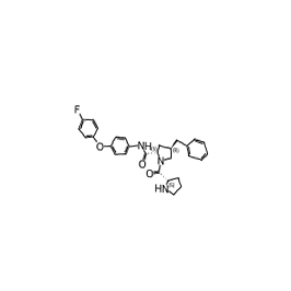 O=C(Nc1ccc(Oc2ccc(F)cc2)cc1)[C@@H]1C[C@@H](Cc2ccccc2)CN1C(=O)[C@@H]1CCCN1